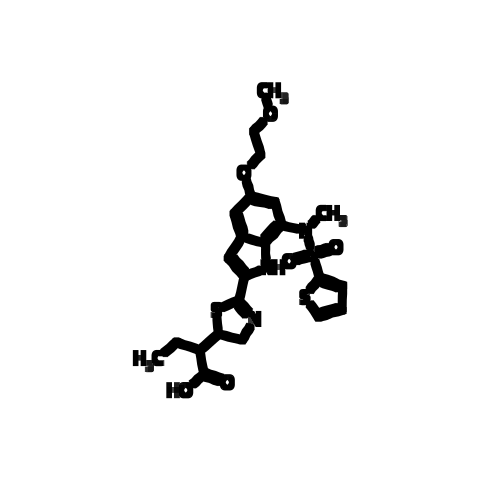 CCC(C(=O)O)C1CN=C(c2cc3cc(OCCOC)cc(N(C)S(=O)(=O)c4cccs4)c3[nH]2)S1